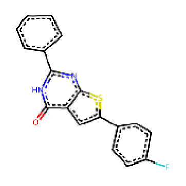 O=c1[nH]c(-c2ccccc2)nc2sc(-c3ccc(F)cc3)cc12